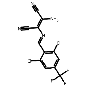 N#CC(N)=C(C#N)N=Cc1c(Cl)cc(C(F)(F)F)cc1Cl